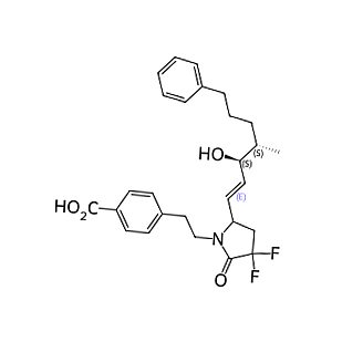 C[C@@H](CCCc1ccccc1)[C@H](O)/C=C/C1CC(F)(F)C(=O)N1CCc1ccc(C(=O)O)cc1